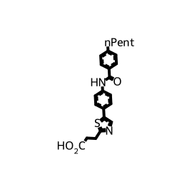 CCCCCc1ccc(C(=O)Nc2ccc(-c3cnc(CCC(=O)O)s3)cc2)cc1